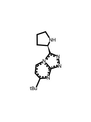 CC(C)(C)c1ccn2c([C@H]3CCCN3)nnc2n1